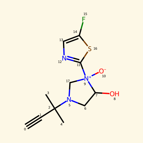 C#CC(C)(C)N1CC(O)[N+]([O-])(c2ncc(F)s2)C1